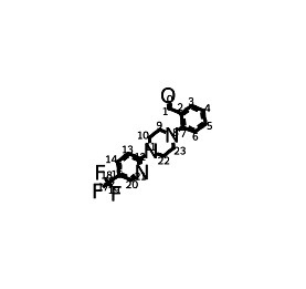 O=Cc1ccccc1N1CCN(c2ccc(C(F)(F)F)cn2)CC1